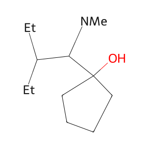 CCC(CC)C(NC)C1(O)CCCC1